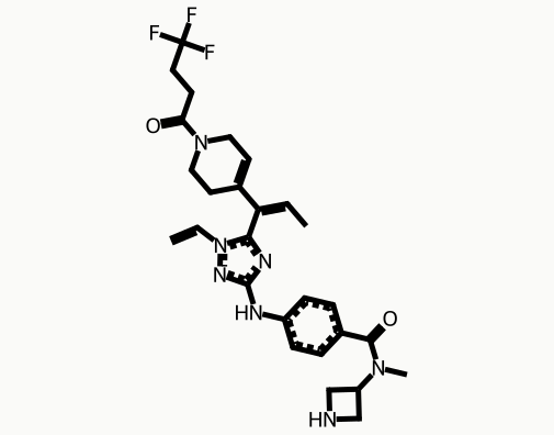 C=Cn1nc(Nc2ccc(C(=O)N(C)C3CNC3)cc2)nc1/C(=C\C)C1=CCN(C(=O)CCC(F)(F)F)CC1